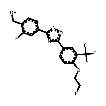 OCc1ccc(-c2noc(-c3ccc(OCCF)c(C(F)(F)F)c3)n2)cc1F